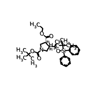 CCOC(=O)[C@H]1CN(C(=O)OC(C)(C)C)C[C@@H]1C(C)O[Si](c1ccccc1)(c1ccccc1)C(C)(C)C